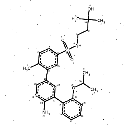 Cc1ccc(S(=O)(=O)NCCC(C)(C)O)cc1-c1cnc(N)c(-c2cccnc2OC(C)C)n1